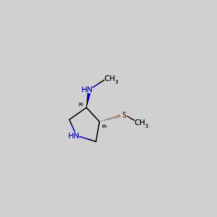 CN[C@@H]1CNC[C@H]1SC